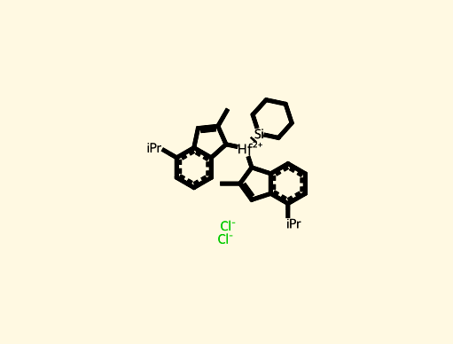 CC1=Cc2c(C(C)C)cccc2[CH]1[Hf+2]([CH]1C(C)=Cc2c(C(C)C)cccc21)=[Si]1CCCCC1.[Cl-].[Cl-]